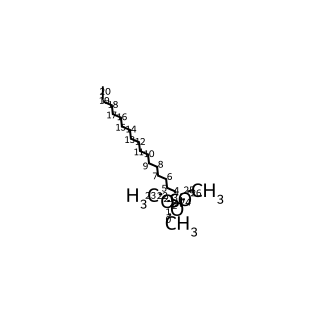 CCO[Si](CCCCCCCCCCCCCCCCI)(OCC)OCC